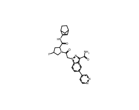 NC(=O)c1nn(CC(=O)N2CC(F)CC2C(=O)NC2=CC3CCC2C3)c2ccc(-c3ccnnc3)cc12